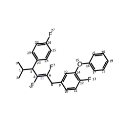 CC(C)C(/C(F)=C(\F)Cc1ccc(F)c(Oc2ccccc2)c1)c1ccc(F)cc1